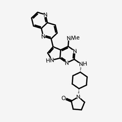 CNc1nc(N[C@H]2CC[C@@H](N3CCCC3=O)CC2)nc2[nH]cc(-c3ccc4ncccc4n3)c12